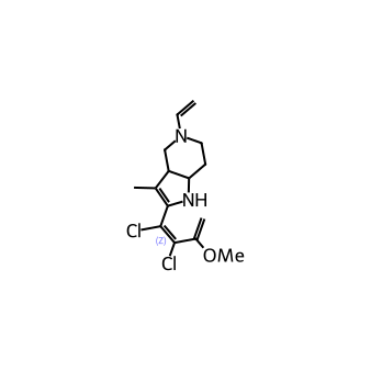 C=CN1CCC2NC(/C(Cl)=C(/Cl)C(=C)OC)=C(C)C2C1